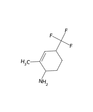 CC1=CC(C(F)(F)F)CCC1N